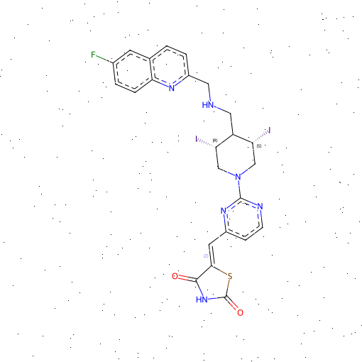 O=C1NC(=O)/C(=C/c2ccnc(N3C[C@@H](I)C(CNCc4ccc5cc(F)ccc5n4)[C@@H](I)C3)n2)S1